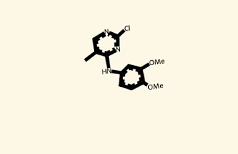 COc1ccc(Nc2nc(Cl)ncc2C)cc1OC